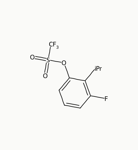 CC(C)c1c(F)cccc1OS(=O)(=O)C(F)(F)F